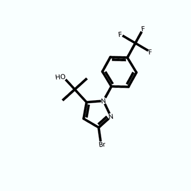 CC(C)(O)c1cc(Br)nn1-c1ccc(C(F)(F)F)cc1